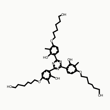 Cc1c(OCCCCCCO)ccc(-c2nc(-c3ccc(OCCCCCCO)c(C)c3O)nc(-c3ccc(OCCCCCCO)c(C)c3O)n2)c1O